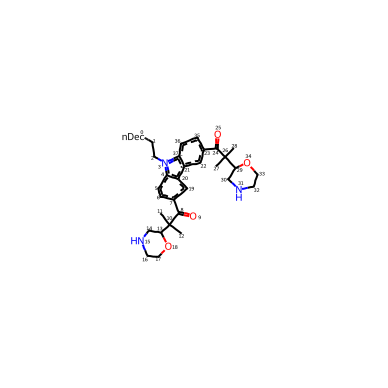 CCCCCCCCCCCCn1c2ccc(C(=O)C(C)(C)C3CNCCO3)cc2c2cc(C(=O)C(C)(C)C3CNCCO3)ccc21